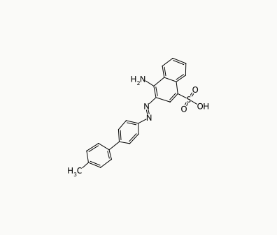 Cc1ccc(-c2ccc(N=Nc3cc(S(=O)(=O)O)c4ccccc4c3N)cc2)cc1